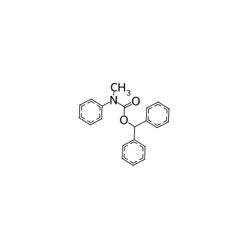 CN(C(=O)OC(c1ccccc1)c1ccccc1)c1ccccc1